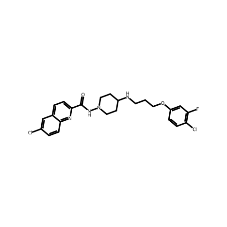 O=C(NN1CCC(NCCCOc2ccc(Cl)c(F)c2)CC1)c1ccc2cc(Cl)ccc2n1